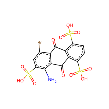 Nc1c(S(=O)(=O)O)cc(Br)c2c1C(=O)c1c(S(=O)(=O)O)ccc(S(=O)(=O)O)c1C2=O